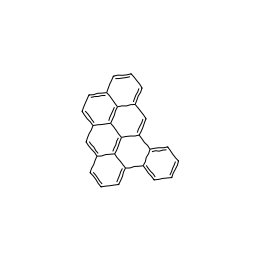 c1cc2ccc3cc4cccc5c6ccccc6c6cc(c1)c2c3c6c45